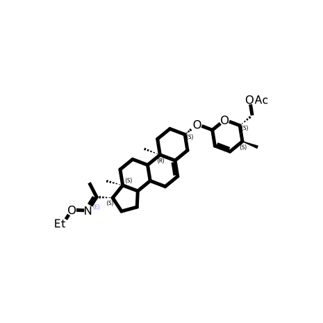 CCO/N=C(\C)[C@H]1CCC2C3CC=C4C[C@@H](OC5C=C[C@H](C)[C@@H](COC(C)=O)O5)CC[C@]4(C)C3CC[C@@]21C